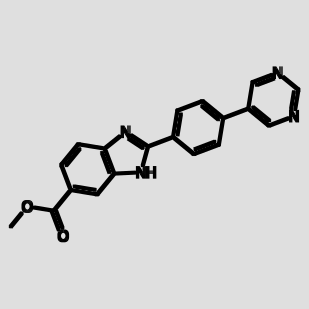 COC(=O)c1ccc2nc(-c3ccc(-c4cncnc4)cc3)[nH]c2c1